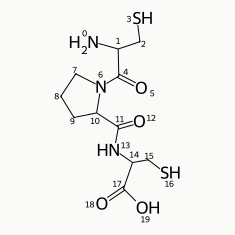 NC(CS)C(=O)N1CCCC1C(=O)NC(CS)C(=O)O